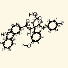 COc1ccc2c(c1)C(CC(=O)O)(NC(=O)c1cc3c(cn1)[nH]c1ccccc13)C(=O)N2c1ccc(F)cc1